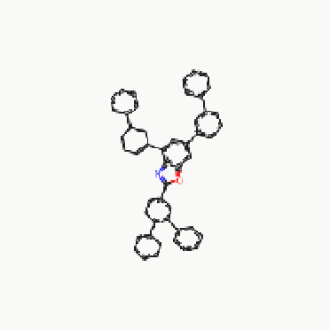 C1=CC(c2ccccc2)CC(c2cc(-c3cccc(-c4ccccc4)c3)cc3oc(-c4ccc(-c5ccccc5)c(-c5ccccc5)c4)nc23)=C1